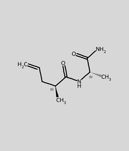 C=CC[C@H](C)C(=O)N[C@@H](C)C(N)=O